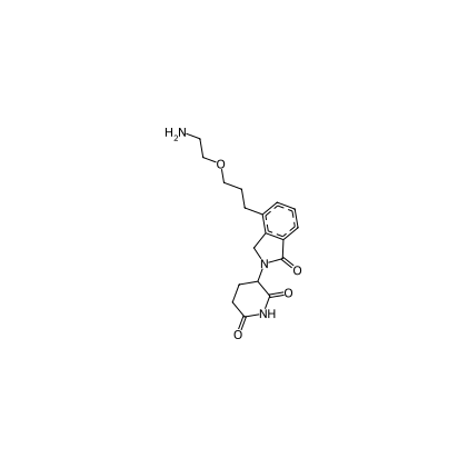 NCCOCCCc1cccc2c1CN(C1CCC(=O)NC1=O)C2=O